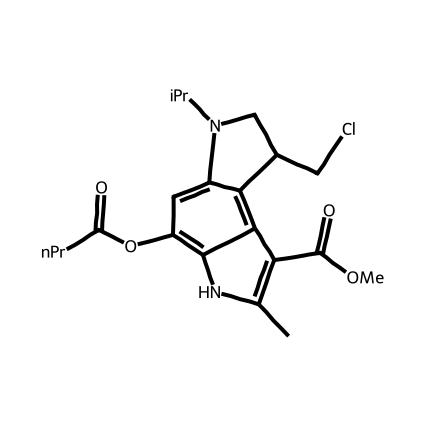 CCCC(=O)Oc1cc2c(c3c(C(=O)OC)c(C)[nH]c13)C(CCl)CN2C(C)C